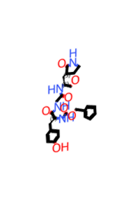 O=C[C@H](C[C@@H]1CCNC1=O)NC(=O)CNC(=O)[C@H](Cc1ccc(O)cc1)NC(=O)OCc1ccccc1